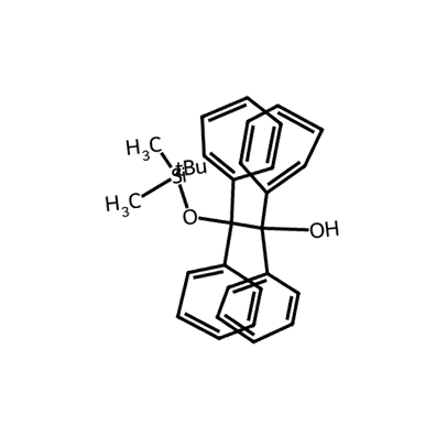 CC(C)(C)[Si](C)(C)OC(c1ccccc1)(c1ccccc1)C(O)(c1ccccc1)c1ccccc1